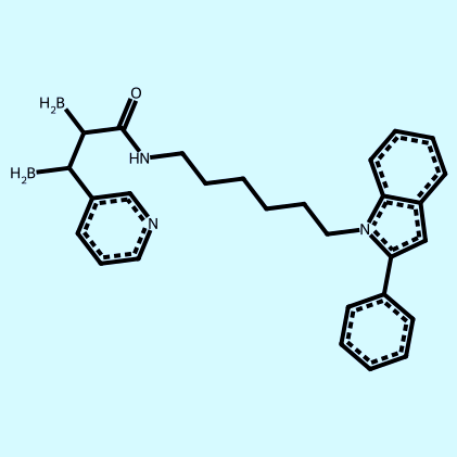 BC(C(=O)NCCCCCCn1c(-c2ccccc2)cc2ccccc21)C(B)c1cccnc1